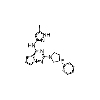 Cc1cc(Nc2nc(N3CC[C@H](c4ccccc4)C3)nn3cccc23)n[nH]1